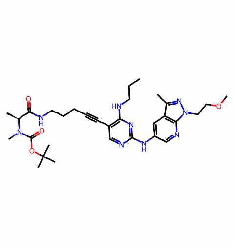 CCCNc1nc(Nc2cnc3c(c2)c(C)nn3CCOC)ncc1C#CCCCNC(=O)[C@H](C)N(C)C(=O)OC(C)(C)C